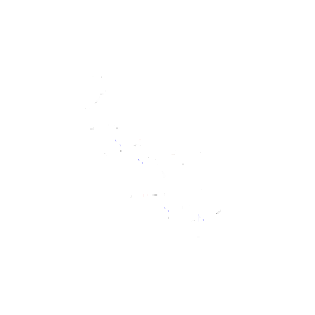 CCc1sc(NC(=O)N(C)c2ccc(Cl)cc2)c(C(N)=O)c1CCN(C)CC